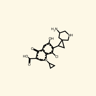 NC1CNCC2(C1)CC2c1c(O)cc2c(=O)c(C(=O)O)cn(C3CC3)c2c1Cl